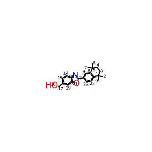 CC1(C)CCC(C)(C)c2cc(-c3nc4ccc(CO)cc4o3)ccc21